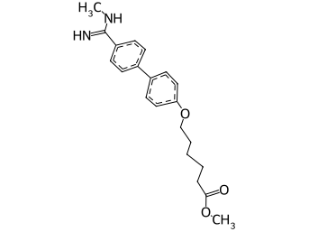 CNC(=N)c1ccc(-c2ccc(OCCCCCC(=O)OC)cc2)cc1